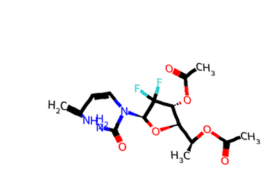 C=C(N)/C=C\N(C(N)=O)[C@@H]1O[C@H]([C@H](C)OC(C)=O)[C@@H](OC(C)=O)C1(F)F